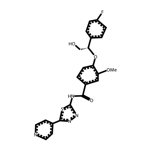 COc1cc(C(=O)Nc2nnc(-c3ccncc3)s2)ccc1O[C@H](CO)c1ccc(F)cc1